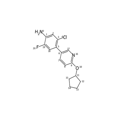 Nc1cc(Cl)c(-c2ccc(OC3CCCC3)nc2)cc1F